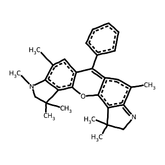 Cc1cc2c(c3c1N(C)CC3(C)C)Oc1c3c(c(C)cc1=C2c1ccccc1)=NCC3(C)C